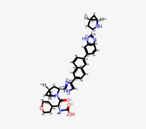 CN(C(=O)O)[C@H](C(=O)N1[C@@H]2C[C@@H]2C[C@H]1c1nc(-c2ccc3cc(-c4ccc5nc([C@@H]6C[C@@H]7C[C@H]7N6)[nH]c5c4)ccc3c2)c[nH]1)C1CCOCC1